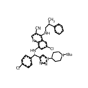 C[C@H](CNc1c(C#N)cnc2c(N[C@@H](c3ccc(Cl)cc3)c3cn(C4CCN(C(C)(C)C)CC4)nn3)cc(Cl)cc12)c1ccccc1